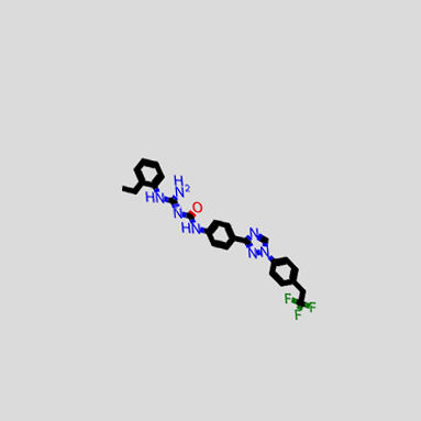 CCc1ccccc1N/C(N)=N/C(=O)Nc1ccc(-c2ncn(-c3ccc(CC(F)(F)F)cc3)n2)cc1